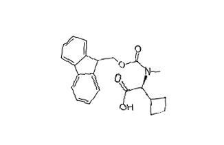 CN(C(=O)OCC1c2ccccc2-c2ccccc21)[C@H](C(=O)O)C1CCC1